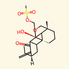 C=C1C(=O)[C@]23CC[C@H]1CC2[C@@]12CCC[C@@](C)(COC1)C2C(COS(C)(=O)=O)[C@H]3O